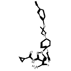 C#Cc1ccc(OC2(C)CN([C@H]3CC[C@](CC#N)(n4cc(C(N)=O)c(NC(=O)C5CC5)n4)CC3)C2)cc1